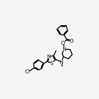 Cc1nc(-c2ccc(Cl)cc2)sc1N(C)C1CCCN(OC(=O)c2ccccc2)C1